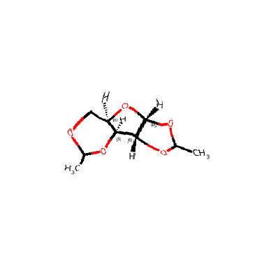 CC1OC[C@H]2O[C@@H]3OC(C)O[C@@H]3[C@H]2O1